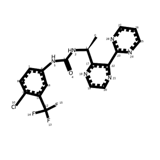 C[C@H](NC(=O)Nc1ccc(Cl)c(C(F)(F)F)c1)c1nccnc1-c1ncccn1